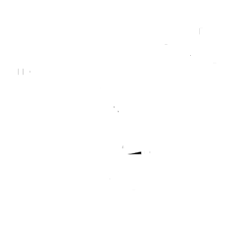 Cc1cccc(N(C[C@@H](O)C(F)(F)F)c2cccc(C(F)(F)F)c2)c1